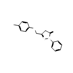 O=C1CC(CSc2ccc(Cl)cc2)=NN1c1ccccc1